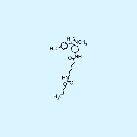 CCCCOC(=O)NCCCCCC(=O)NC1CCC(Cc2ccc(C)cc2)(N(C)C)CC1